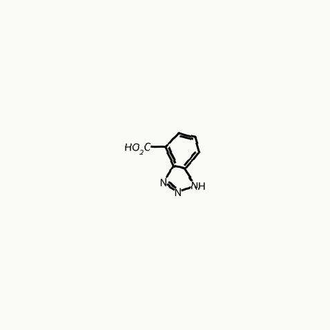 O=C(O)c1cccc2[nH]nnc12